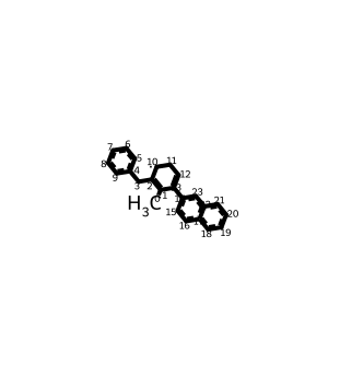 CC1=C(Cc2ccccc2)[CH]CC=C1c1ccc2ccccc2c1